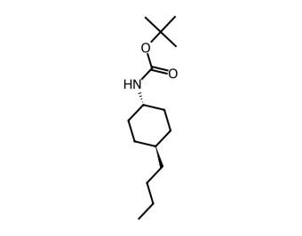 CCCC[C@H]1CC[C@H](NC(=O)OC(C)(C)C)CC1